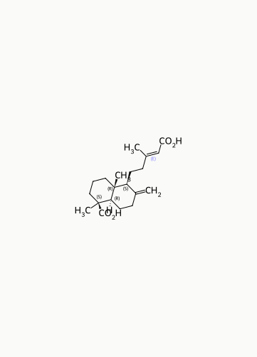 C=C1CC[C@@H]2[C@](C)(CCC[C@]2(C)C(=O)O)[C@H]1CC/C(C)=C/C(=O)O